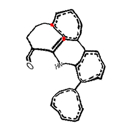 O=C1CCCC=C1Nc1c(-c2ccccc2)cccc1-c1ccccc1